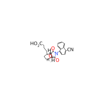 C[C@]12CCC(CCCC(=O)O)(O1)[C@@H]1C(=O)N(c3ccc(C#N)c4ccccc34)C(=O)[C@@H]12